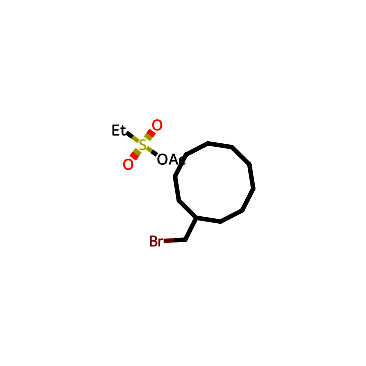 BrCC1CCCCCCCCC1.CCS(=O)(=O)OC(C)=O